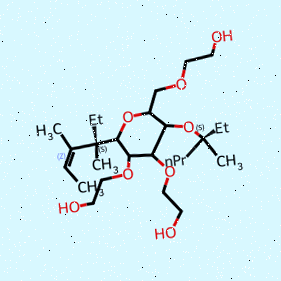 C/C=C(/C)[C@](C)(CC)C1OC(COCCO)C(O[C@@](C)(CC)CCC)C(OCCO)C1OCCO